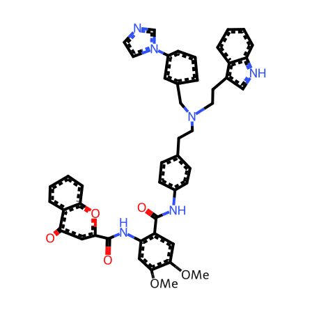 COc1cc(NC(=O)c2cc(=O)c3ccccc3o2)c(C(=O)Nc2ccc(CCN(CCc3c[nH]c4ccccc34)Cc3cccc(-n4ccnc4)c3)cc2)cc1OC